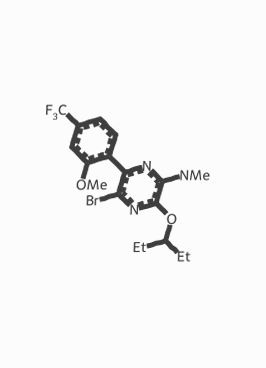 CCC(CC)Oc1nc(Br)c(-c2ccc(C(F)(F)F)cc2OC)nc1NC